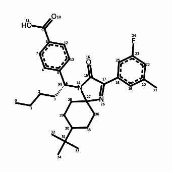 CCCC[C@H](c1ccc(C(=O)O)cc1)N1C(=O)C(c2cc(C)cc(F)c2)=NC12CCC(C(C)(C)C)CC2